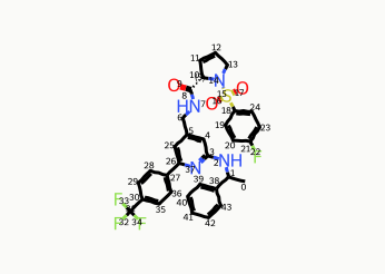 CC(Nc1cc(CNC(=O)[C@@H]2C=CCN2S(=O)(=O)c2ccc(F)cc2)cc(-c2ccc(C(F)(F)F)cc2)n1)c1ccccc1